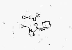 CCOC=O.O=C(Nc1ccccc1)c1cccn1CC1CC1